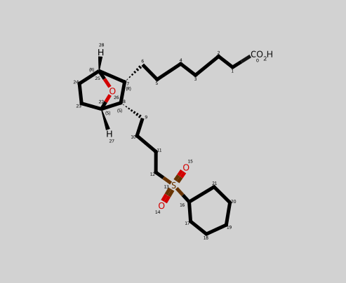 O=C(O)CCCCCC[C@@H]1[C@H](CCCCS(=O)(=O)C2CCCCC2)[C@@H]2CC[C@H]1O2